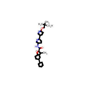 Cc1c(C(=O)Nc2ccc(-c3ccc(OCC(C)(C)C(=O)O)nc3)nc2)oc2ccc(-c3ccccc3)cc12